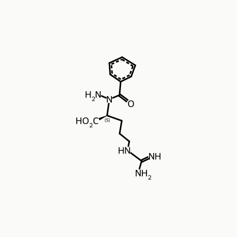 N=C(N)NCCC[C@@H](C(=O)O)N(N)C(=O)c1ccccc1